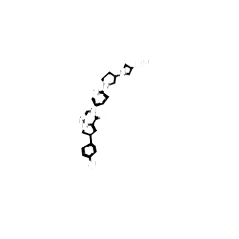 O=C1C2=CC(c3ccc(Cl)cc3)CN2N=CN1c1ccc(N2CCC(N3CC(O)C3)C2)nc1